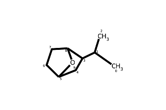 CC(C)C1CC2CCC1O2